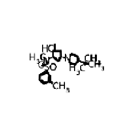 Cc1cccc(S(=O)(=O)N(C)[C@H]2CC[C@@H](N3CCC(C(C)(C)C)CC3)C2)c1.Cl